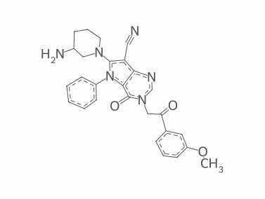 COc1cccc(C(=O)Cn2cnc3c(C#N)c(N4CCCC(N)C4)n(-c4ccccc4)c3c2=O)c1